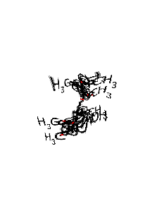 CCC(CCN(CCN(CCCCCCCCCN(CCN(CCN(CCOCCNCCO)S(=O)(=O)c1ccc(C)cc1)S(=O)(=O)c1ccc(C)cc1)S(=O)(=O)c1ccc(C)cc1)S(=O)(=O)c1ccc(C)cc1)S(=O)(=O)c1ccc(C)cc1)S(=O)(=O)c1ccc(C)cc1